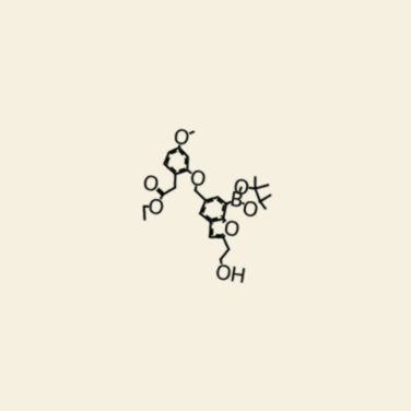 CCOC(=O)Cc1ccc(OC)cc1OCc1cc(B2OC(C)(C)C(C)(C)O2)c2oc(CCO)cc2c1